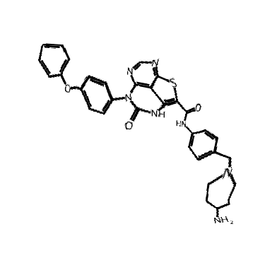 NC1CCN(Cc2ccc(NC(=O)c3sc4ncnc5c4c3NC(=O)N5c3ccc(Oc4ccccc4)cc3)cc2)CC1